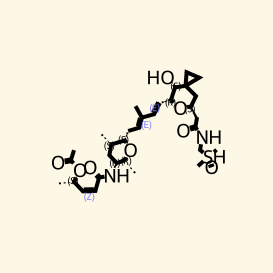 CC(=O)O[C@@H](C)/C=C\C(=O)N[C@@H]1C[C@H](C)[C@H](C/C=C(C)/C=C/[C@H]2O[C@H](CC(=O)NC[SH](C)(C)=O)CC3(CC3)[C@@H]2O)O[C@@H]1C